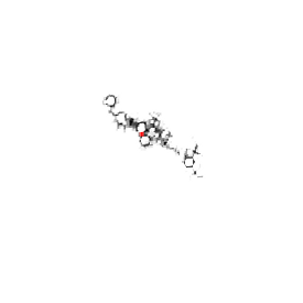 CCC(C)(C)c1ccc(OCCCC(=O)NN(C(=O)C(Cl)(Oc2ccc(S(=O)(=O)C3=CC=C(Cc4ccccc4)CC3=O)cc2)C(=O)C(C)(C)C)c2ccccc2)c(C(C)(C)CC)c1